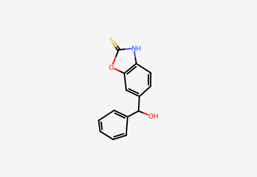 OC(c1ccccc1)c1ccc2[nH]c(=S)oc2c1